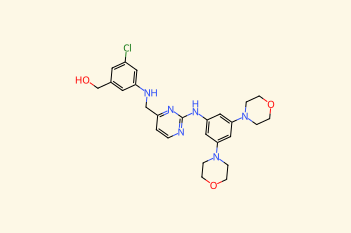 OCc1cc(Cl)cc(NCc2ccnc(Nc3cc(N4CCOCC4)cc(N4CCOCC4)c3)n2)c1